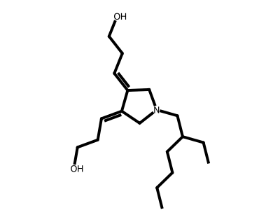 CCCCC(CC)CN1CC(=CCCO)C(=CCCO)C1